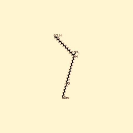 CCCCCCCCCCCCCCCCCCOC(=O)CCCCCCCCCCCCCCCCCNC(CN)CCCCCCCCCCCCCCCCCC(=O)O